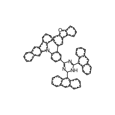 c1ccc2cc3c(cc2c1)c1ccccc1n3-c1ccc(C2=NC(c3c4ccccc4cc4ccccc34)NC(c3c4ccccc4cc4ccccc34)=N2)cc1-c1ccc2oc3ccccc3c2c1